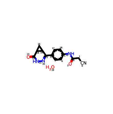 N#CCC(=O)Nc1ccc(C2=NNC(=O)C3CC23)cc1.O